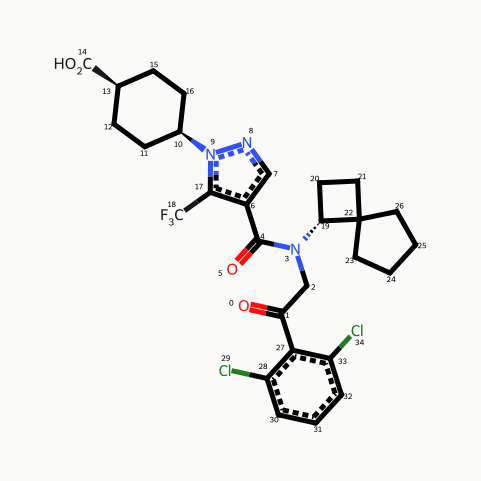 O=C(CN(C(=O)c1cnn([C@H]2CC[C@@H](C(=O)O)CC2)c1C(F)(F)F)[C@@H]1CCC12CCCC2)c1c(Cl)cccc1Cl